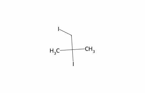 CC(C)(I)CI